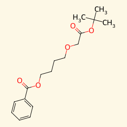 CC(C)(C)OC(=O)COCCCCOC(=O)c1ccccc1